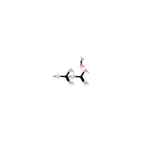 C=C(C)C(=O)O.C=C(C)C(=O)O.CC(C)O